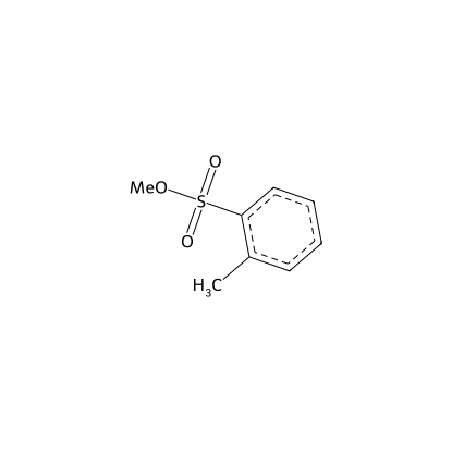 COS(=O)(=O)c1ccccc1C